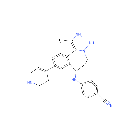 C/C(N)=C1\c2ccc(C3=CCNCC3)cc2C(Nc2ccc(C#N)cc2)CCN1N